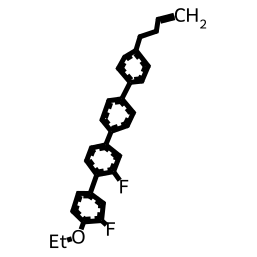 C=CCCc1ccc(-c2ccc(-c3ccc(-c4ccc(OCC)c(F)c4)c(F)c3)cc2)cc1